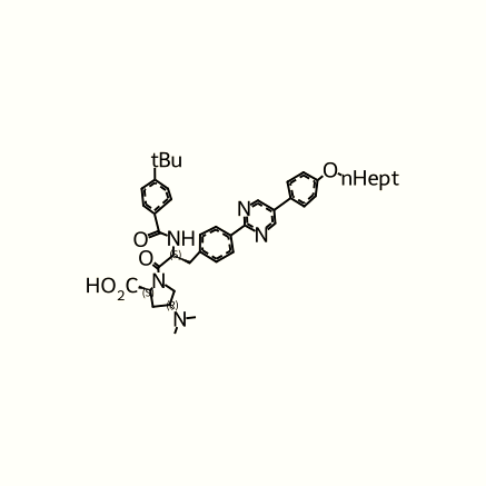 CCCCCCCOc1ccc(-c2cnc(-c3ccc(C[C@H](NC(=O)c4ccc(C(C)(C)C)cc4)C(=O)N4C[C@H](N(C)C)C[C@H]4C(=O)O)cc3)nc2)cc1